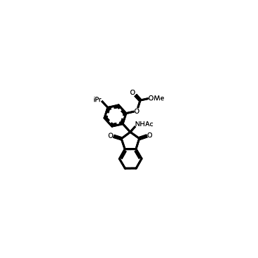 COC(=O)Oc1cc(C(C)C)ccc1C1(NC(C)=O)C(=O)C2=CCCC=C2C1=O